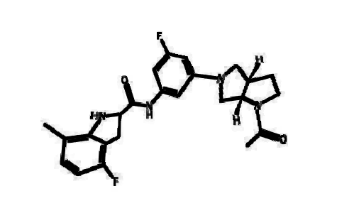 CC(=O)N1CC[C@H]2CN(c3cc(F)cc(NC(=O)C4Cc5c(F)ccc(C)c5N4)c3)C[C@H]21